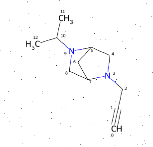 C#CCN1CC2CC1CN2C(C)C